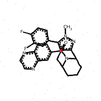 Cn1nc2c(c1-c1ccc(F)c(F)c1)CC1CCCC2N1C(=O)c1ccc2nccnc2c1